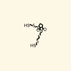 O=C1C2CCCCC2(SCCSCCS)C(=O)N1CCCSCCSCCS